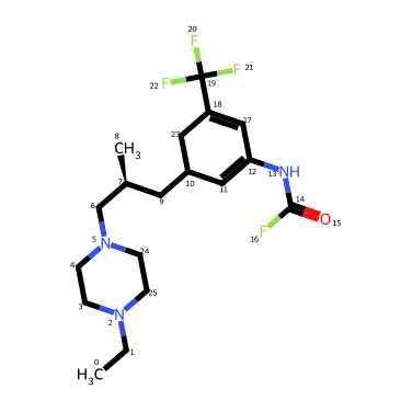 CCN1CCN(C[C@@H](C)CC2C=C(NC(=O)F)C=C(C(F)(F)F)C2)CC1